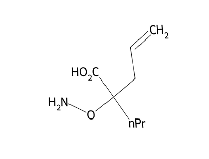 C=CCC(CCC)(ON)C(=O)O